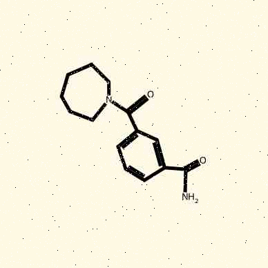 NC(=O)c1cccc(C(=O)N2CCCCCC2)c1